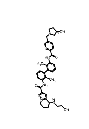 Cc1c(NC(=O)c2ccc(CN3CC[C@@H](O)C3)cn2)cccc1-c1cccc(NC(=O)c2cc3n(n2)CCCC3NCCO)c1C